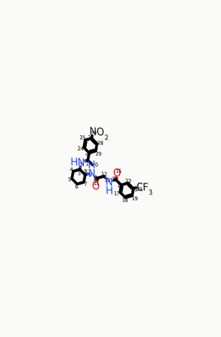 CC(NC1CCCCC1NC(=O)CNC(=O)c1cccc(C(F)(F)F)c1)c1ccc([N+](=O)[O-])cc1